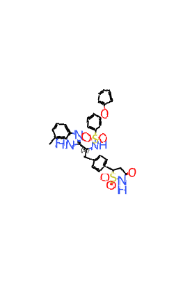 Cc1cccc2nc([C@H](Cc3ccc(C4CC(=O)NS4(=O)=O)cc3)NS(=O)(=O)c3cccc(Oc4ccccc4)c3)[nH]c12